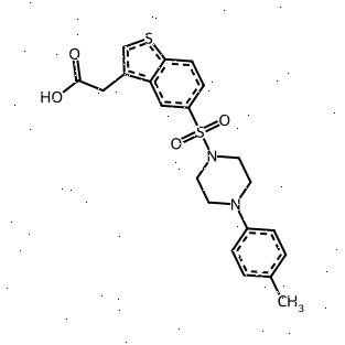 Cc1ccc(N2CCN(S(=O)(=O)c3ccc4scc(CC(=O)O)c4c3)CC2)cc1